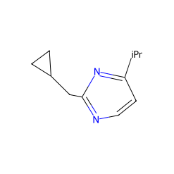 CC(C)c1ccnc(CC2CC2)n1